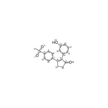 CS(=O)(=O)c1ccc(C2=C(c3cccc(O)c3)C(=O)CC2)cc1